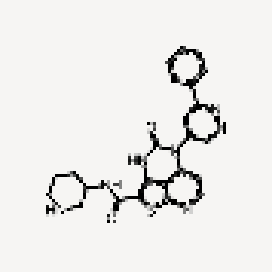 O=C(NC1CCCNC1)c1sc2nccc3c2c1NC(=O)N3c1cnnc(-c2ccccc2)c1